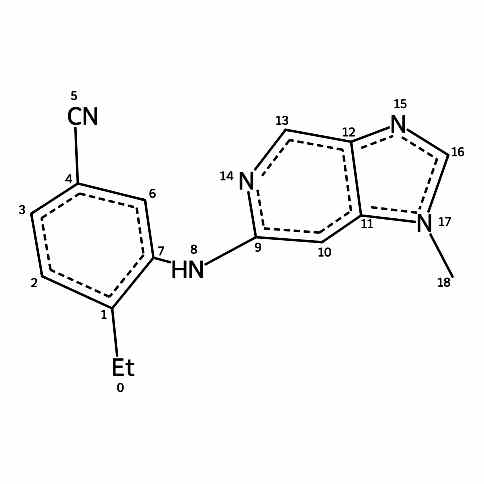 CCc1ccc(C#N)cc1Nc1cc2c(cn1)ncn2C